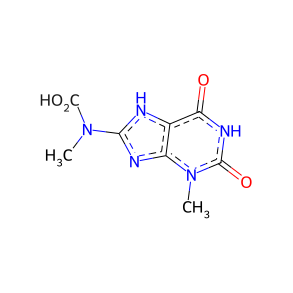 CN(C(=O)O)c1nc2c([nH]1)c(=O)[nH]c(=O)n2C